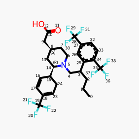 CCCC(CN1CC[C@H](CC(=O)O)C[C@@H]1C1C=CC(C(F)(F)F)=CC1)c1cc(C(F)(F)F)ccc1C(F)(F)F